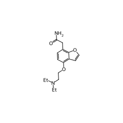 CCN(CC)CCOc1ccc(CC(N)=O)c2occc12